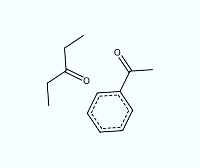 CC(=O)c1ccccc1.CCC(=O)CC